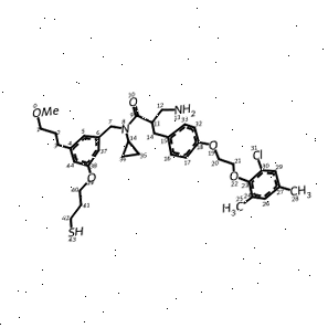 COCCCc1cc(CN(C(=O)C(CN)Cc2ccc(OCCOc3c(C)cc(C)cc3Cl)cc2)C2CC2)cc(OCCCS)c1